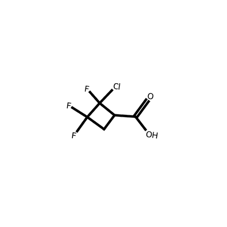 O=C(O)C1CC(F)(F)C1(F)Cl